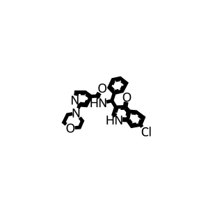 O=C(NC(c1ccccc1)c1c[nH]c2cc(Cl)ccc2c1=O)c1ccnc(N2CCOCC2)c1